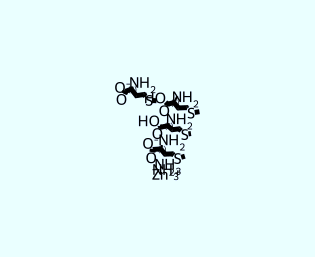 CSCC[C@H](N)C(=O)O.CSCC[C@H](N)C(=O)O.CSCC[C@H](N)C(=O)[O-].CSCC[C@H](N)C(=O)[O-].N.N.[Zn+2]